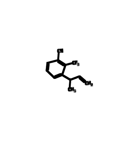 C=C[C](C)c1cccc(C#N)c1C(F)(F)F